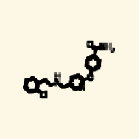 NC(=O)c1ccc(Oc2ccc(CNCCc3ccccc3Cl)cn2)cc1